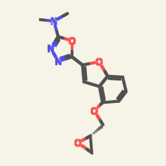 CN(C)c1nnc(-c2cc3c(OC[C@@H]4CO4)cccc3o2)o1